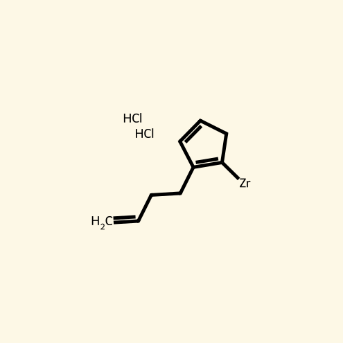 C=CCCC1=[C]([Zr])CC=C1.Cl.Cl